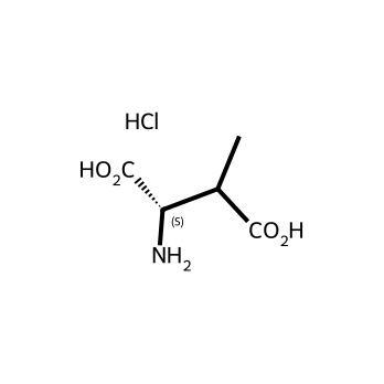 CC(C(=O)O)[C@H](N)C(=O)O.Cl